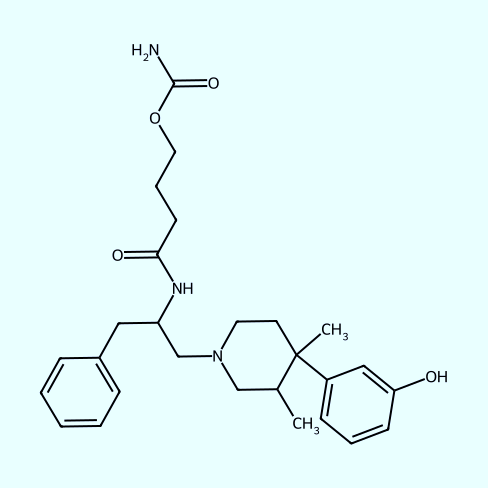 CC1CN(CC(Cc2ccccc2)NC(=O)CCCOC(N)=O)CCC1(C)c1cccc(O)c1